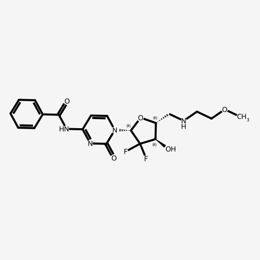 COCCNC[C@H]1O[C@@H](n2ccc(NC(=O)c3ccccc3)nc2=O)C(F)(F)[C@@H]1O